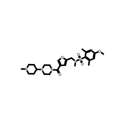 COc1cc(C)c(S(=O)(=O)N(C)Cc2cc(C(=O)N3CCN(C4CCN(C)CC4)CC3)co2)c(C)c1